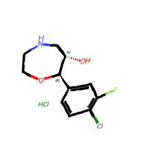 Cl.O[C@H]1CNCCO[C@@H]1c1ccc(Cl)c(F)c1